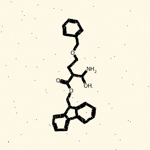 NC(O)C(CCOCc1ccccc1)C(=O)OCC1c2ccccc2-c2ccccc21